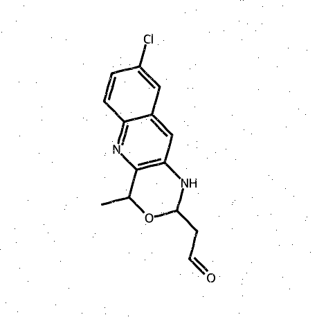 CC1OC(CC=O)Nc2cc3cc(Cl)ccc3nc21